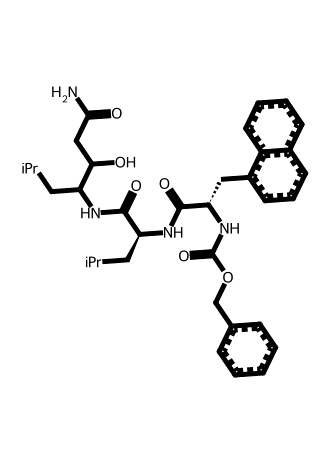 CC(C)CC(NC(=O)[C@H](CC(C)C)NC(=O)[C@H](Cc1cccc2ccccc12)NC(=O)OCc1ccccc1)C(O)CC(N)=O